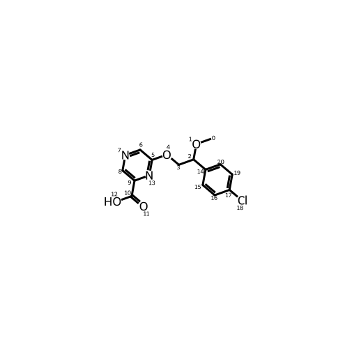 COC(COc1cncc(C(=O)O)n1)c1ccc(Cl)cc1